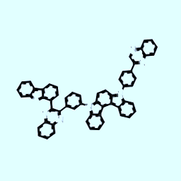 c1cc(-c2nc3ccccc3nc2-c2cccc3c2sc2ccccc23)cc(-n2c3ccccc3c3c4c5ccccc5n(-c5ccc(-c6cnc7ccccc7n6)cc5)c4ccc32)c1